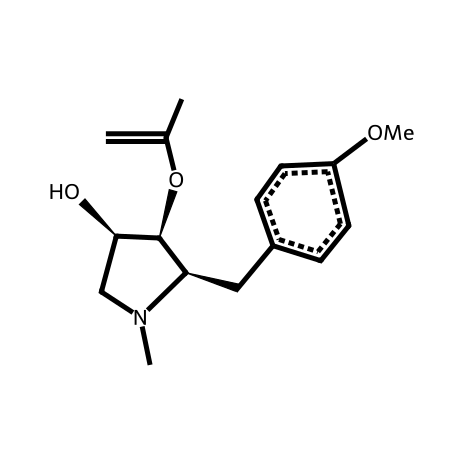 C=C(C)O[C@@H]1[C@H](O)CN(C)[C@@H]1Cc1ccc(OC)cc1